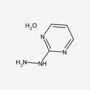 NNc1ncccn1.O